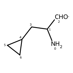 NC([C]=O)CC1CC1